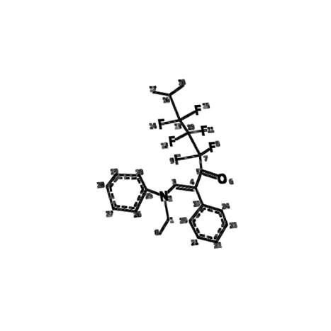 CCN(/C=C(/C(=O)C(F)(F)C(F)(F)C(F)(F)C(C)C)c1ccccc1)c1ccccc1